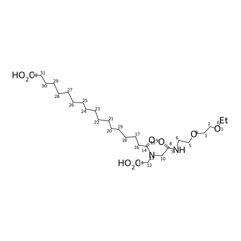 CCOCCOCCNC(=O)CN(CC(=O)O)C(=O)CCCCCCCCCCCCCCCCC(=O)O